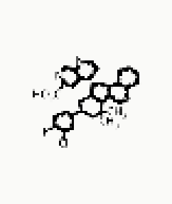 CC1(C)CC(c2ccc(F)c(Cl)c2)Cc2ccc3c(ccc4ccccc43)c21.O=C(O)c1cc2cccnc2cn1